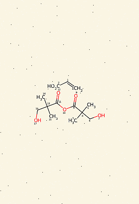 C=CC(=O)O.CC(C)(CO)C(=O)OC(=O)C(C)(C)CO